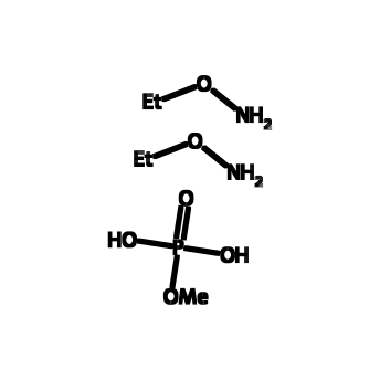 CCON.CCON.COP(=O)(O)O